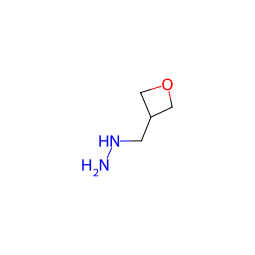 NNCC1COC1